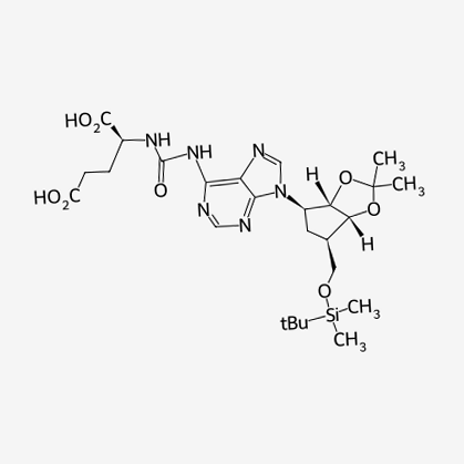 CC1(C)O[C@@H]2[C@@H](CO[Si](C)(C)C(C)(C)C)C[C@@H](n3cnc4c(NC(=O)N[C@@H](CCC(=O)O)C(=O)O)ncnc43)[C@@H]2O1